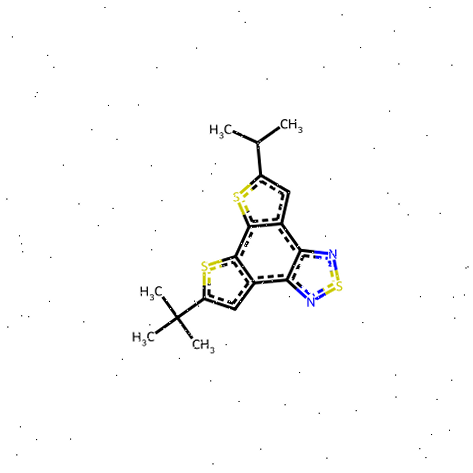 CC(C)c1cc2c3nsnc3c3cc(C(C)(C)C)sc3c2s1